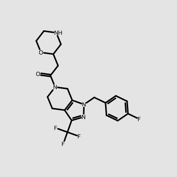 O=C(CC1CNCCO1)N1CCc2c(C(F)(F)F)nn(Cc3ccc(F)cc3)c2C1